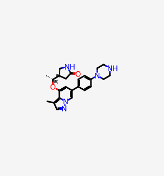 Cc1cnn2cc(-c3ccc(N4CCNCC4)cc3)cc(O[C@H](C)[C@H]3CNC(=O)C3)c12